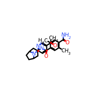 CC(=O)c1ccc(N2C3CCC2CC(NC(=O)c2cc(C)c(C(N)=O)cc2C)C3)nc1